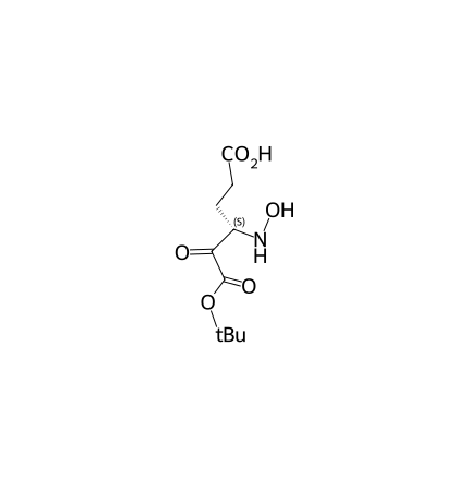 CC(C)(C)OC(=O)C(=O)[C@H](CCC(=O)O)NO